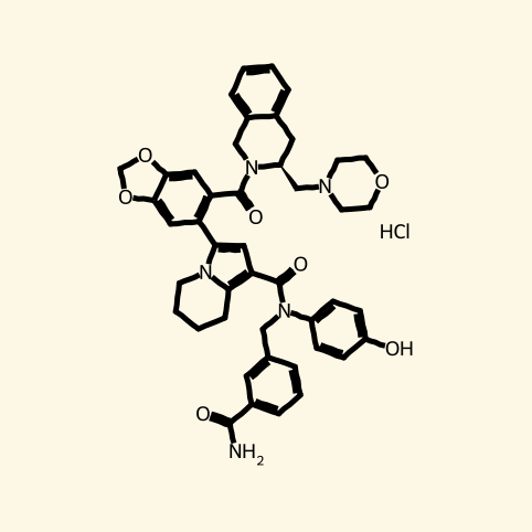 Cl.NC(=O)c1cccc(CN(C(=O)c2cc(-c3cc4c(cc3C(=O)N3Cc5ccccc5C[C@H]3CN3CCOCC3)OCO4)n3c2CCCC3)c2ccc(O)cc2)c1